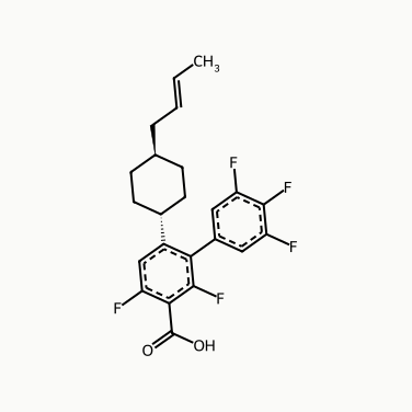 C/C=C/C[C@H]1CC[C@H](c2cc(F)c(C(=O)O)c(F)c2-c2cc(F)c(F)c(F)c2)CC1